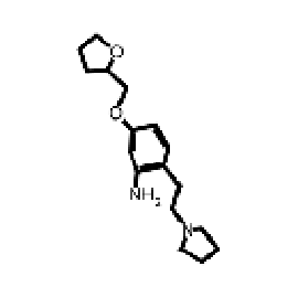 Nc1cc(OCC2CCCO2)ccc1CCN1CCCC1